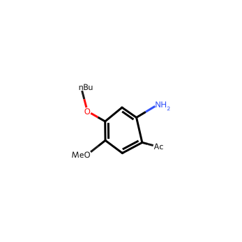 CCCCOc1cc(N)c(C(C)=O)cc1OC